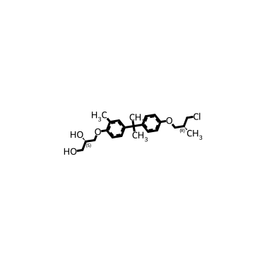 Cc1cc(C(C)(C)c2ccc(OC[C@@H](C)CCl)cc2)ccc1OC[C@@H](O)CO